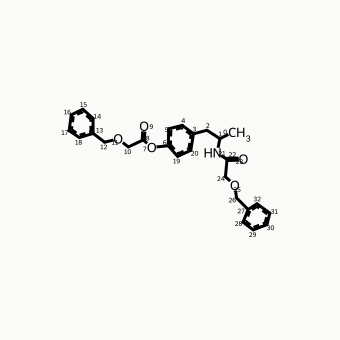 CC(Cc1ccc(OC(=O)COCc2ccccc2)cc1)NC(=O)COCc1ccccc1